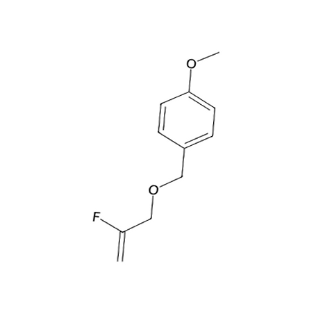 C=C(F)COCc1ccc(OC)cc1